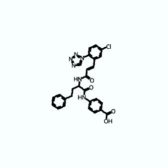 O=C(C=Cc1cc(Cl)ccc1-n1cnnn1)NC(CCc1ccccc1)C(=O)Nc1ccc(C(=O)O)cc1